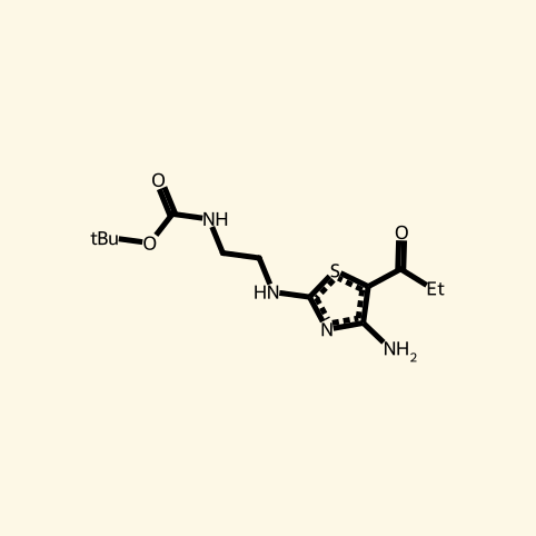 CCC(=O)c1sc(NCCNC(=O)OC(C)(C)C)nc1N